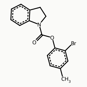 Cc1ccc(OC(=O)N2CCc3ccccc32)c(Br)c1